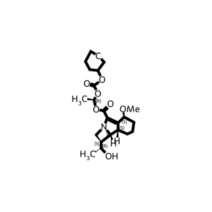 CO[C@H]1CCC[C@H]2C1=C(C(=O)O[C@@H](C)OC(=O)OC1CCCCC1)N1C[C@H]([C@@H](C)O)[C@@H]21